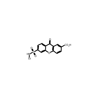 CCNS(=O)(=O)c1ccc2c(=O)c3cc(C(=O)O)ccc3oc2c1